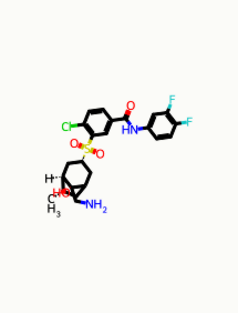 C[C@H]1CC2C[C@@H](S(=O)(=O)c3cc(C(=O)Nc4ccc(F)c(F)c4)ccc3Cl)C[C@H]1[C@@]2(O)CN